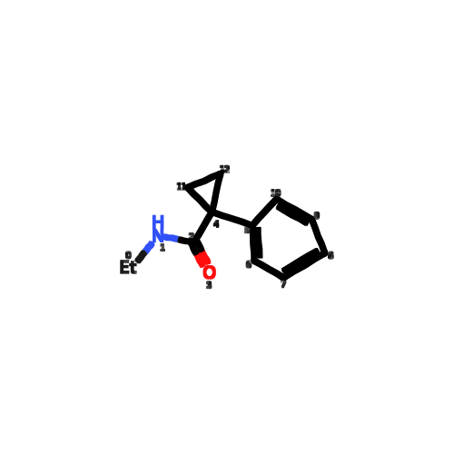 CCNC(=O)C1(c2ccccc2)CC1